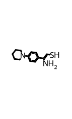 N/C(=C\S)c1ccc(N2CCCCC2)cc1